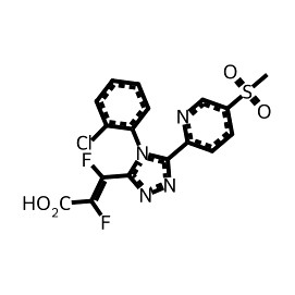 CS(=O)(=O)c1ccc(-c2nnc(C(F)=C(F)C(=O)O)n2-c2ccccc2Cl)nc1